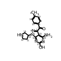 Cc1ccc(C(=O)c2nn(C3CCNC3)c3nc(O)nc(N)c23)cc1